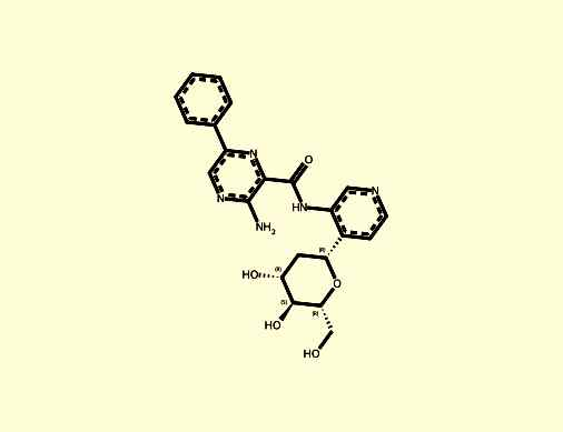 Nc1ncc(-c2ccccc2)nc1C(=O)Nc1cnccc1[C@H]1C[C@@H](O)[C@H](O)[C@@H](CO)O1